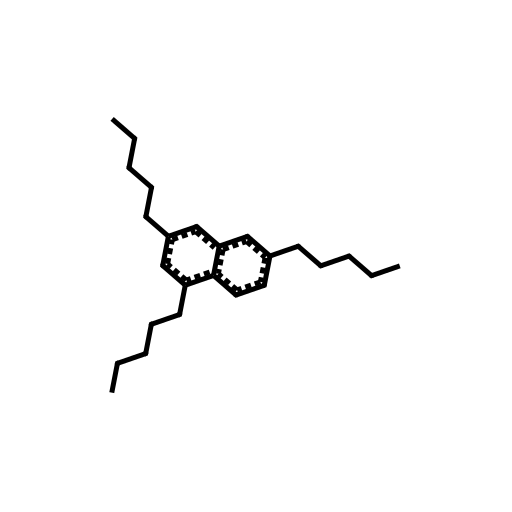 CCCCCc1ccc2c(CCCCC)cc(CCCCC)cc2c1